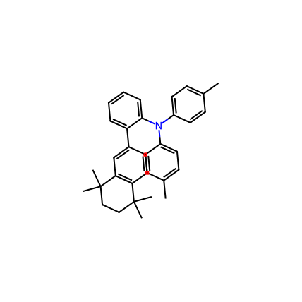 Cc1ccc(N(c2ccc(C)cc2)c2ccccc2-c2ccc3c(c2)C(C)(C)CCC3(C)C)cc1